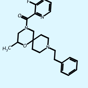 CC1CN(C(=O)c2ncccc2F)CC2(CCN(CCc3ccccc3)CC2)O1